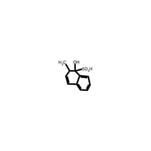 CC1C=Cc2ccccc2C1(O)S(=O)(=O)O